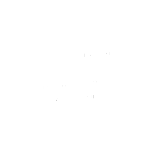 CC(C)=CCOC(C)CCOC(C)C